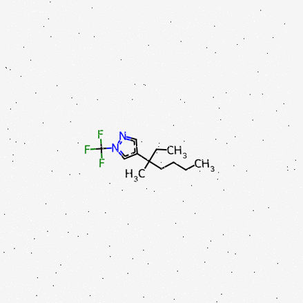 CCCCC(C)(CC)c1cnn(C(F)(F)F)c1